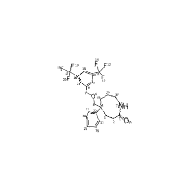 O=C1CCC(COCc2cc(C(F)(F)F)cc(C(F)(F)F)c2)(c2ccccc2)CCCN1